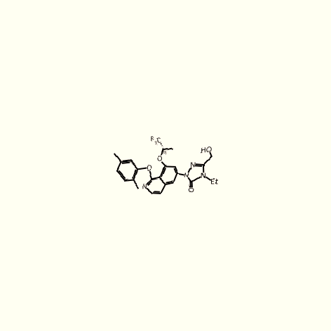 CCn1c(CO)nn(-c2cc(O[C@@H](C)C(F)(F)F)c3c(Oc4cc(C)ccc4C)nccc3c2)c1=O